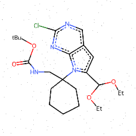 CCOC(OCC)c1cc2cnc(Cl)nc2n1C1(CNC(=O)OC(C)(C)C)CCCCC1